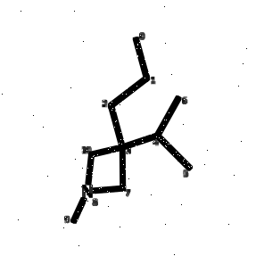 CCCC1(C(C)C)CN(C)C1